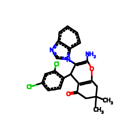 CC1(C)CC(=O)C2=C(C1)OC(N)=C(n1cnc3ccccc31)C2c1ccc(Cl)cc1Cl